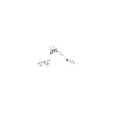 CC[C@H](C)[C@@H]([C@@H](CC(=O)NCCC[C@@H]1C[C@@]1(OC)[C@@H](C)C(=O)N[C@@H](Cc1ccccc1)C(=O)NCCOCCOCCNC(=O)NCC1CCNCC1)OC)N(C)C(=O)[C@@H](NC(=O)[C@H](C(C)C)N(C)C)C(C)C